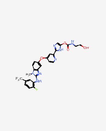 Cn1c(Nc2cc(C(F)(F)F)ccc2F)nc2cc(Oc3ccnc(-c4ncc(OC(=O)NCCO)[nH]4)c3)ccc21